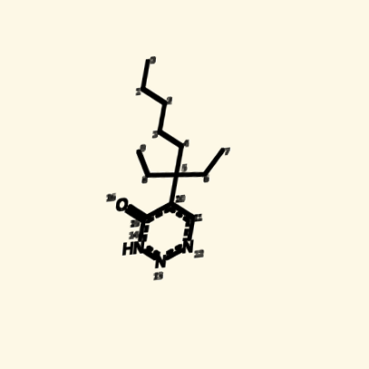 CCCCCC(CC)(CC)c1cnn[nH]c1=O